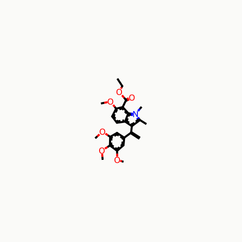 C=C(c1cc(OC)c(OC)c(OC)c1)c1c(C)n(C)c2c(C(=O)OCC)c(OC)ccc12